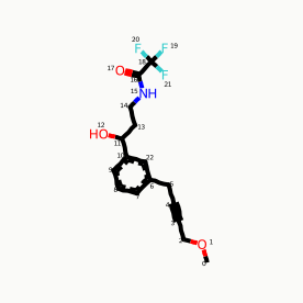 COCC#CCc1cccc(C(O)CCNC(=O)C(F)(F)F)c1